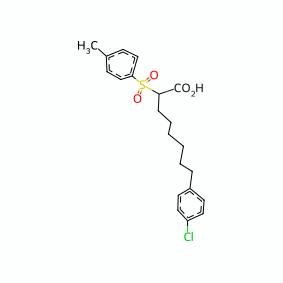 Cc1ccc(S(=O)(=O)C(CCCCCCc2ccc(Cl)cc2)C(=O)O)cc1